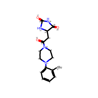 CC(C)(C)c1ccccc1N1CCN(C(=O)CC2NC(=O)NC2=O)CC1